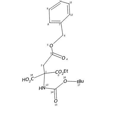 CCOC(=O)C(CC(=O)OCc1ccccc1)(NC(=O)OC(C)(C)C)C(=O)O